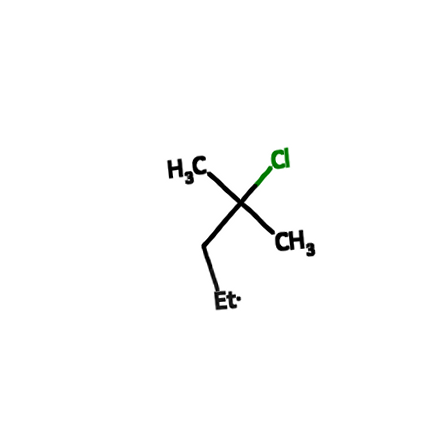 C[CH]CC(C)(C)Cl